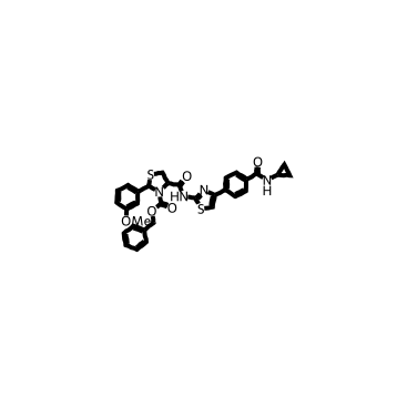 COc1cccc(C2SCC(C(=O)Nc3nc(-c4ccc(C(=O)NC5CC5)cc4)cs3)N2C(=O)OCc2ccccc2)c1